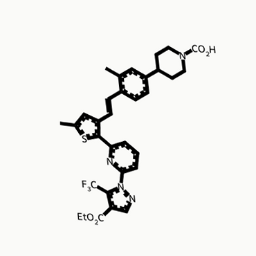 CCOC(=O)c1cnn(-c2cccc(-c3sc(C)cc3C=Cc3ccc(C4CCN(C(=O)O)CC4)cc3C)n2)c1C(F)(F)F